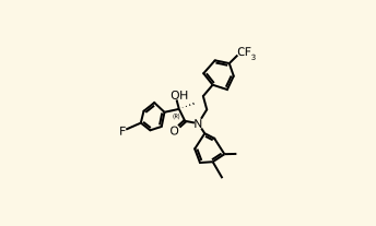 Cc1ccc(N(CCc2ccc(C(F)(F)F)cc2)C(=O)[C@](C)(O)c2ccc(F)cc2)cc1C